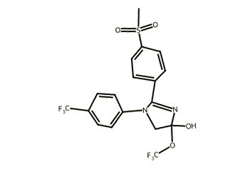 CS(=O)(=O)c1ccc(C2=NC(O)(OC(F)(F)F)CN2c2ccc(C(F)(F)F)cc2)cc1